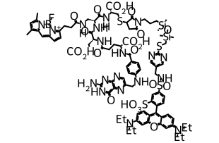 CCN(CC)c1ccc2c(-c3ccc(S(=O)(=O)NCc4cnc(SC[Si](C)(C)O[Si](C)(C)CCCN5C(=O)CC(SC[C@H](NC(=O)[C@H](CNC(=O)CCC6=[N+]7B(F)n8c(C)cc(C)c8C=C7C=C6)NC(=O)[C@H](CC(=O)O)NC(=O)CC[C@H](NC(=O)c6ccc(NCc7cnc8nc(N)[nH]c(=O)c8n7)cc6)C(=O)O)C(=O)O)C5=O)nc4)cc3S(=O)(=O)O)c3ccc(=[N+](CC)CC)cc-3oc2c1